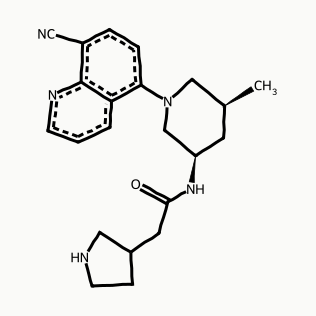 C[C@H]1C[C@@H](NC(=O)CC2CCNC2)CN(c2ccc(C#N)c3ncccc23)C1